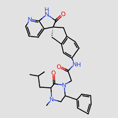 CC(C)CC1C(=O)N(CC(=O)Nc2ccc3c(c2)C[C@@]2(C3)C(=O)Nc3ncccc32)C(c2ccccc2)CN1C